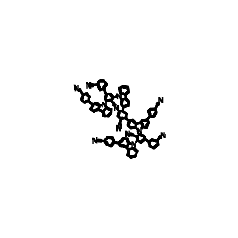 N#Cc1ccc(-c2ccc3c(c2)c2ccccc2n3-c2cc(-c3cccc(C#N)c3)cc(-n3c4ccc(-c5ccc(C#N)cc5)cc4c4cc(-c5cc(-c6ccc7c8ccccc8n(-c8cc(-c9cccc(C#N)c9)cc(-n9c%10ccccc%10c%10ccc(-c%11ccc(C#N)cc%11)cc%109)c8C#N)c7c6)ccc5C#N)ccc43)c2C#N)cc1